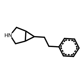 c1ccc(CCC2C3CNCC23)cc1